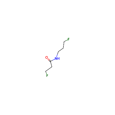 O=C(CCF)NCCCF